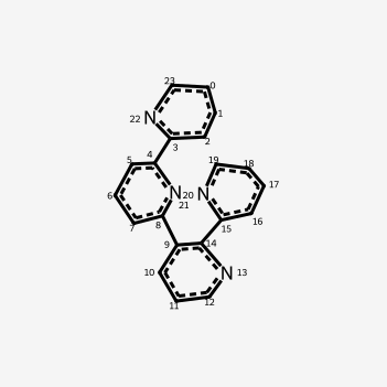 c1ccc(-c2cccc(-c3cccnc3-c3ccccn3)n2)nc1